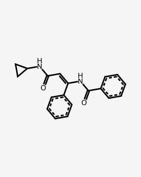 O=C(C=C(NC(=O)c1ccccc1)c1ccccc1)NC1CC1